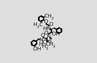 Cc1cccc(C)c1OCC(=O)N[C@@H](Cc1ccccc1)[C@H](O)C(=O)N1CSC(C)(C)[C@H]1C(=O)NCc1cccc(O)c1